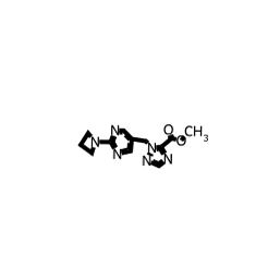 COC(=O)c1ncnn1Cc1cnc(N2CCC2)nc1